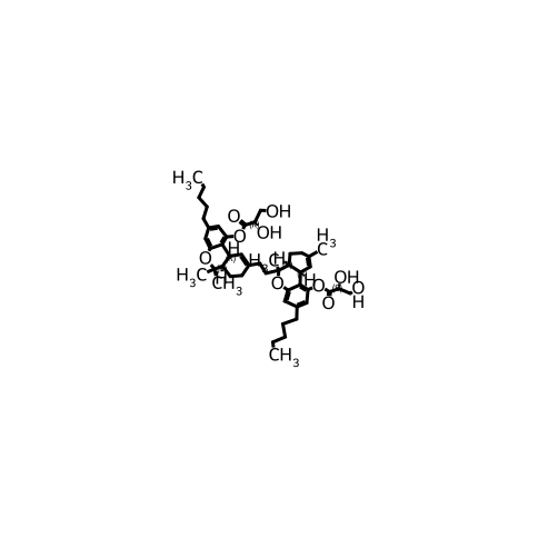 CCCCCc1cc(OC(=O)[C@H](O)CO)c2c(c1)OC(C)(C)[C@@H]1CCC(CCC3(C)Oc4cc(CCCCC)cc(OC(=O)[C@@H](O)CO)c4[C@@H]4C=C(C)CC[C@H]43)=C[C@@H]21